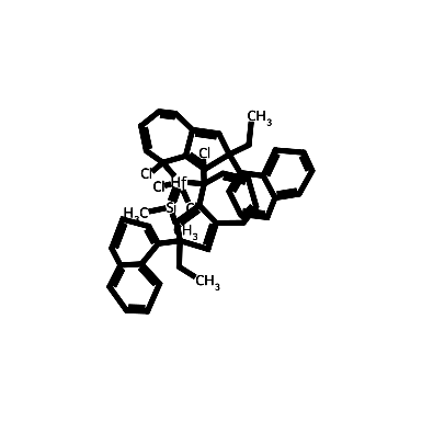 CCC1(c2cccc3ccccc23)C=C2C=CC=C[C](Cl)([Hf]([Cl])([Cl])(=[Si](C)C)[C]3(Cl)C=CC=CC4=CC(CC)(c5cccc6ccccc56)C=C43)C2=C1